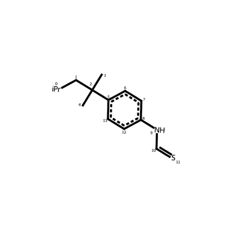 CC(C)CC(C)(C)c1ccc(NC=S)cc1